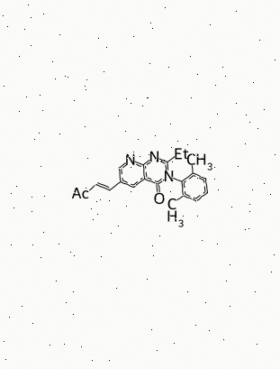 CCc1nc2ncc(/C=C/C(C)=O)cc2c(=O)n1-c1c(C)cccc1C